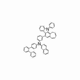 C1=CCc2c(cc(-c3cccc(N(c4ccc(-c5ccccc5-c5ccccc5)cc4)c4ccc5ccccc5c4)c3)c3c4ccccc4n(-c4ccccc4)c23)C=C1